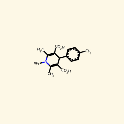 CCCN1C(C)=C(C(=O)O)C(c2ccc(C(F)(F)F)cc2)C(C(=O)O)=C1C